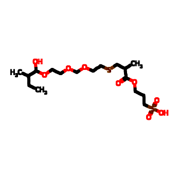 CCC(C)C(O)OCCOCOCCSCC(C)C(=O)OCCCS(=O)(=O)O